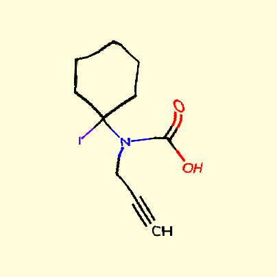 C#CCN(C(=O)O)C1(I)CCCCC1